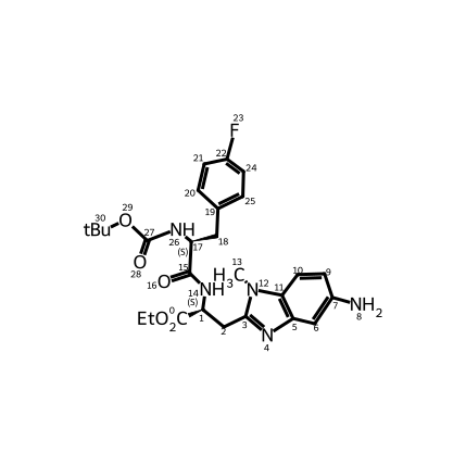 CCOC(=O)[C@H](Cc1nc2cc(N)ccc2n1C)NC(=O)[C@H](Cc1ccc(F)cc1)NC(=O)OC(C)(C)C